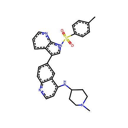 Cc1ccc(S(=O)(=O)n2cc(-c3ccc4nccc(NC5CCN(C)CC5)c4c3)c3cccnc32)cc1